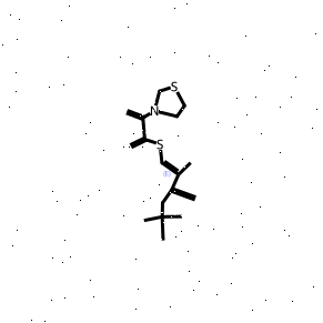 C=C(S/C=C(\C)C(=C)CC(C)(C)C)C(=C)N1CCSC1